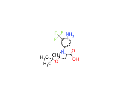 CC(C)(C)OC1CC(C(=O)O)N(c2ccc(N)c(C(F)(F)F)c2)C1